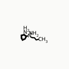 CCCCN(N)c1ccccc1N